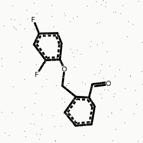 O=Cc1ccccc1COc1ccc(F)cc1F